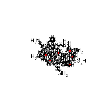 CC[C@H](C)[C@H](NC(=O)[C@H](CS)NC(=O)[C@@H]1CCCN1C(=O)[C@H](Cc1ccccc1)NC(=O)[C@H](Cc1c[nH]cn1)NC(=O)[C@@H](N)[C@@H](C)O)C(=O)N[C@@H](CCCCN)C(=O)N[C@@H](Cc1ccccc1)C(=O)N[C@@H](CCCCN)C(=O)N1CCC[C@H]1C(=O)N[C@@H](CCCNC(=N)N)C(=O)N[C@@H](CO)C(=O)N[C@@H](CCCCN)C(=O)NCC(=O)N[C@@H](CS)C(=O)N[C@@H](CCCCN)C(=O)O